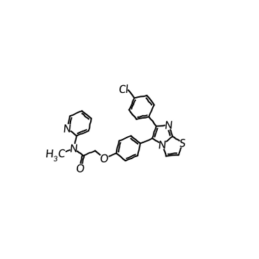 CN(C(=O)COc1ccc(-c2c(-c3ccc(Cl)cc3)nc3sccn23)cc1)c1ccccn1